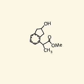 COC(=O)C(C)c1cccc2c1CC(O)C2